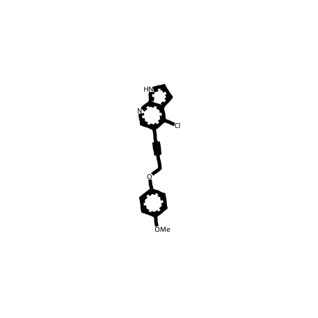 COc1ccc(OCC#Cc2cnc3[nH]ccc3c2Cl)cc1